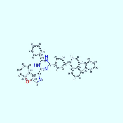 C1=NC(C2=NC(c3ccc(-c4ccc5c6c(cccc46)-c4ccccc4-5)cc3)NC(c3ccccc3)N2)c2c1oc1ccccc21